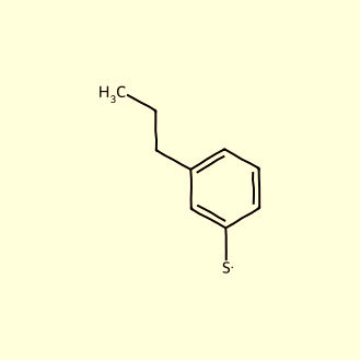 CCCc1cccc([S])c1